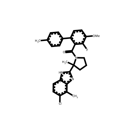 COc1ccc(-c2ccc(C)cc2)c(C(=O)N2CCCC2(C)c2nc3c(C)c(Cl)ccc3[nH]2)c1F